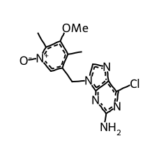 COc1c(C)c(Cn2cnc3c(Cl)nc(N)nc32)c[n+]([O-])c1C